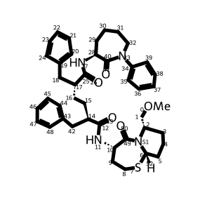 COC[C@@H]1CCC[C@@H]2SCC[C@H](NC(=O)[C@H](CC[C@H](Cc3ccccc3)C(=O)N[C@H]3CCCCN(c4ccccc4)C3=O)Cc3ccccc3)C(=O)N12